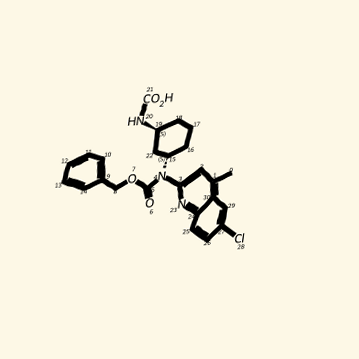 Cc1cc(N(C(=O)OCc2ccccc2)[C@H]2CCC[C@H](NC(=O)O)C2)nc2ccc(Cl)cc12